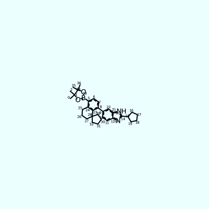 CC1(C)OB(c2ccc(-c3ccc4nc(C5CCCC5)[nH]c4c3)c3c2CCCC32CCCC2)OC1(C)C